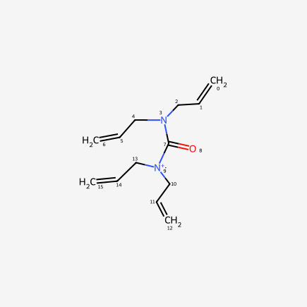 C=CCN(CC=C)C(=O)[N+](CC=C)CC=C